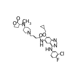 CN(C1CCN(CC=CC(=O)Nc2cc3c(Nc4ccc(F)c(Cl)c4)ncnc3cc2OCC2CC2)CC1)C1CCOC1=O